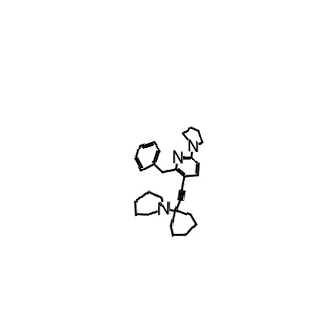 C(#CC1(N2CCCCC2)CCCCC1)c1ccc(N2CCCC2)nc1Cc1ccccc1